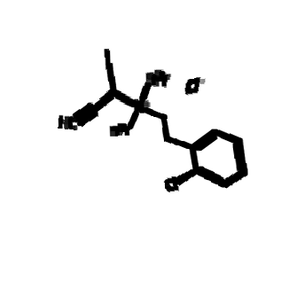 C#CC(I)[N+](CCC)(CCC)CCc1ccccc1Cl.[Cl-]